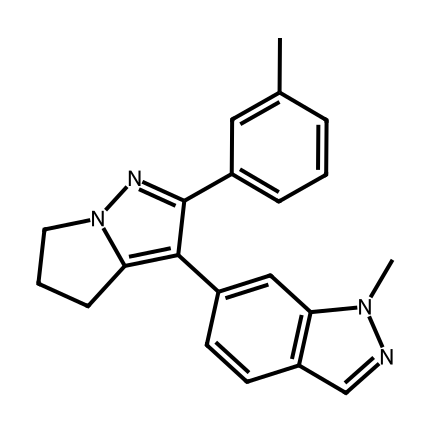 Cc1cccc(-c2nn3c(c2-c2ccc4cnn(C)c4c2)CCC3)c1